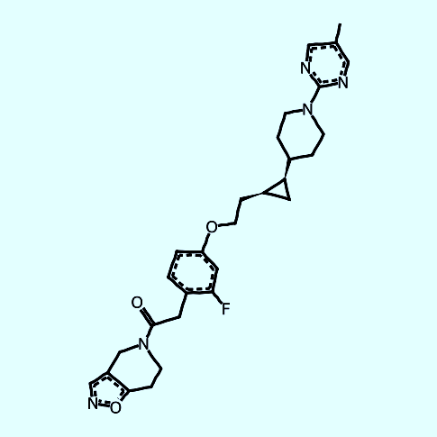 Cc1cnc(N2CCC([C@H]3C[C@H]3CCOc3ccc(CC(=O)N4CCc5oncc5C4)c(F)c3)CC2)nc1